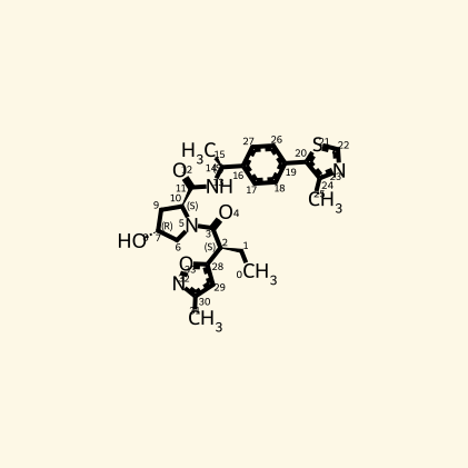 CC[C@H](C(=O)N1C[C@H](O)C[C@H]1C(=O)N[C@@H](C)c1ccc(-c2scnc2C)cc1)c1cc(C)no1